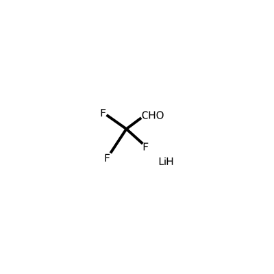 O=CC(F)(F)F.[LiH]